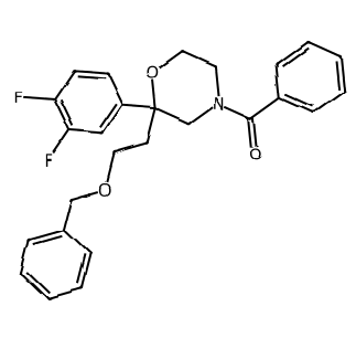 O=C(c1ccccc1)N1CCOC(CCOCc2ccccc2)(c2ccc(F)c(F)c2)C1